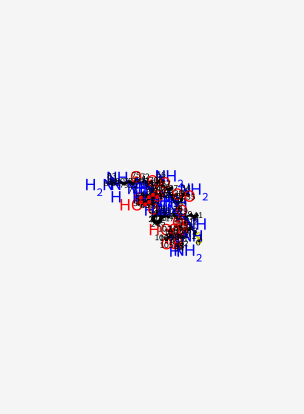 CSCC[C@H](NC(=O)[C@H](CC(C)C)NC(=O)[C@H](Cc1c[nH]c2ccccc12)NC(=O)[C@H](CCC(N)=O)NC(=O)[C@@H](NC(=O)[C@H](Cc1ccccc1)NC(=O)[C@H](CC(=O)O)NC(=O)[C@H](CCC(N)=O)NC(=O)[C@H](C)NC(=O)[C@@H](N)CCCNC(=N)N)C(C)C)C(=O)N[C@@H](CC(N)=O)C(=O)N[C@H](C(=O)O)[C@@H](C)O